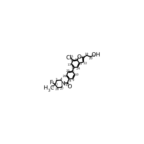 CC1(F)CCN(C(=O)c2ccc(-c3cc(Cl)c4oc(CCO)cc4c3)cc2)CC1